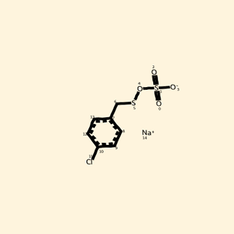 O=S(=O)([O-])OSCc1ccc(Cl)cc1.[Na+]